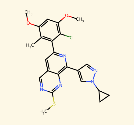 COc1cc(OC)c(Cl)c(-c2cc3cnc(SC)nc3c(-c3cnn(C4CC4)c3)n2)c1C